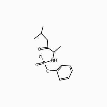 CC(C)CC(=O)C(C)N[P@@](=O)(Cl)Oc1ccccc1